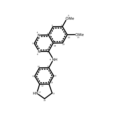 COc1cc2ncnc(Nc3ccc4c(c3)CCN4)c2cc1OC